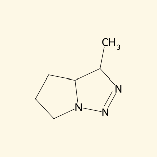 CC1N=NN2CCCC12